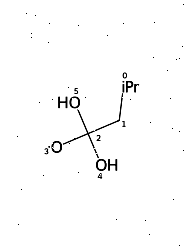 CC(C)CC([O])(O)O